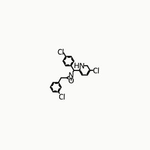 ClC1=CC=C(C(c2ccc(Cl)cc2)N2OC2Cc2cccc(Cl)c2)NC1